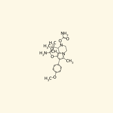 COc1ccc(-c2c(OC(N)=O)c3n(c2C)CCN(OC(N)=O)C3C(C)(C)C)cc1